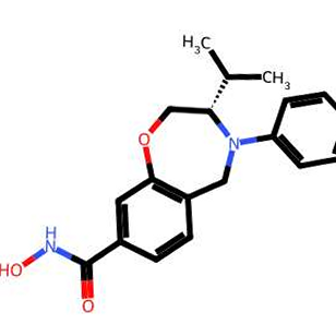 CC(C)[C@H]1COc2cc(C(=O)NO)ccc2CN1c1ccccc1